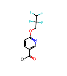 CCC(=O)c1ccc(OCC(F)(F)C(F)F)nc1